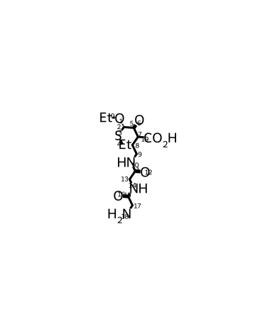 CCO[C@@H](SCC)C(=O)C(CCNC(=O)CNC(=O)CN)C(=O)O